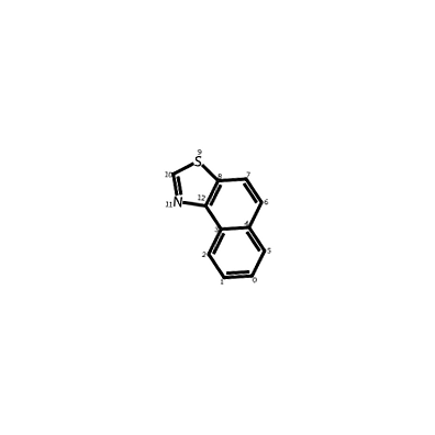 c1ccc2c(c1)ccc1scnc12